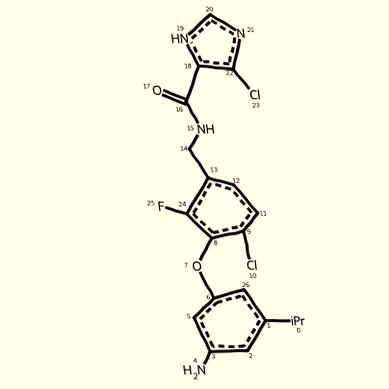 CC(C)c1cc(N)cc(Oc2c(Cl)ccc(CNC(=O)c3[nH]cnc3Cl)c2F)c1